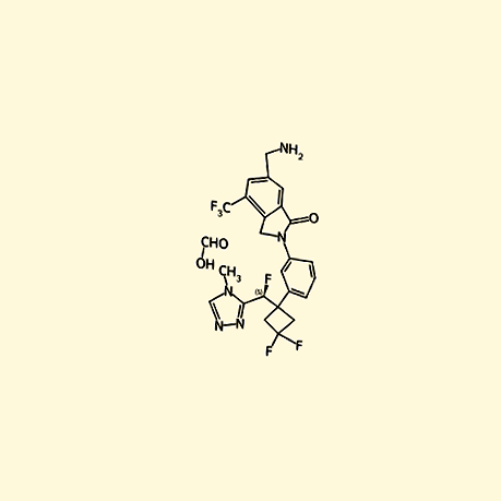 Cn1cnnc1[C@@H](F)C1(c2cccc(N3Cc4c(cc(CN)cc4C(F)(F)F)C3=O)c2)CC(F)(F)C1.O=CO